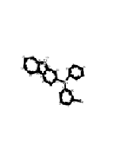 Brc1cccc(N(c2ccccc2)c2ccc3c(c2)oc2ccccc23)c1